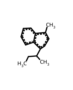 CC[C](C)c1ccc(C)c2ccccc12